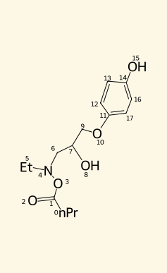 CCCC(=O)ON(CC)CC(O)COc1ccc(O)cc1